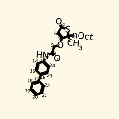 CCCCCCCCC1(C)SC(=O)C=C1OCC(=O)Nc1ccc(-c2ccccc2)cc1